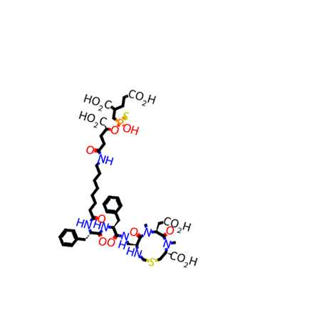 CN1C(=O)[C@H](CNC(=O)[C@H](Cc2ccccc2)NC(=O)[C@H](Cc2ccccc2)NC(=O)CCCCCCCNC(=O)CC[C@@H](OP(O)(=S)CC(CCC(=O)O)C(=O)O)C(=O)O)NCSC[C@@H](C(=O)O)N(C)C(=O)[C@@H]1CC(=O)O